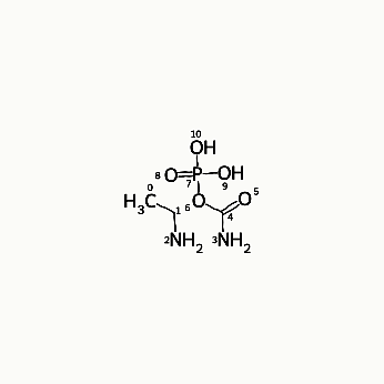 CCN.NC(=O)OP(=O)(O)O